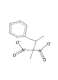 CC(c1ccccc1)C(C)([N+](=O)[O-])[N+](=O)[O-]